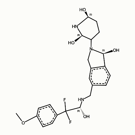 COc1ccc(C(F)(F)[C@@H](O)NCc2ccc3c(c2)CN(C2CC[C@H](O)N[C@@H]2O)[C@H]3O)cc1